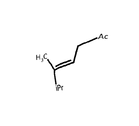 CC(=O)C/C=C(\C)C(C)C